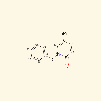 CC(C)c1ccc(=O)n(Cc2ccccc2)c1